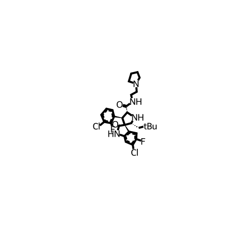 CC(C)(C)C[C@H]1N[C@@H](C(=O)NCCN2CCCC2)[C@H](c2cccc(Cl)c2F)[C@@]12C(=O)Nc1cc(Cl)c(F)cc12